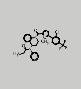 CCC(=O)N(c1ccccc1)[C@H]1C[C@@H](C)N(C(=O)c2ccc(-c3ccc(C(F)(F)F)cc3Cl)o2)c2ccccc21